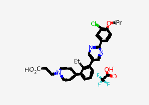 CCc1c(-c2cnc(-c3ccc(OC(C)C)c(Cl)c3)nc2)cccc1C1CCN(CCC(=O)O)CC1.O=C(O)C(F)(F)F